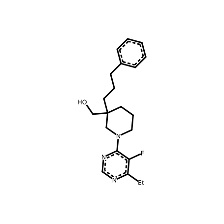 CCc1ncnc(N2CCCC(CO)(CCCc3ccccc3)C2)c1F